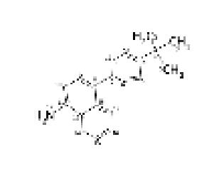 CC(C)(C)c1ccc(-c2ccc(N)c3ccccc23)cc1